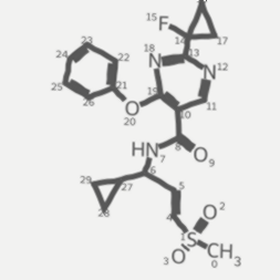 CS(=O)(=O)C=CC(NC(=O)c1cnc(C2(F)CC2)nc1Oc1ccccc1)C1CC1